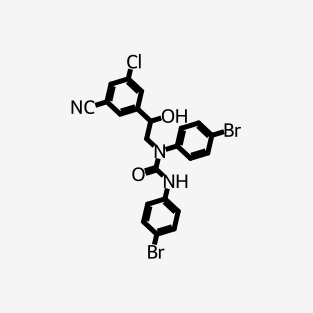 N#Cc1cc(Cl)cc(C(O)CN(C(=O)Nc2ccc(Br)cc2)c2ccc(Br)cc2)c1